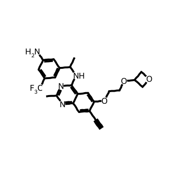 C#Cc1cc2nc(C)nc(NC(C)c3cc(N)cc(C(F)(F)F)c3)c2cc1OCCOC1COC1